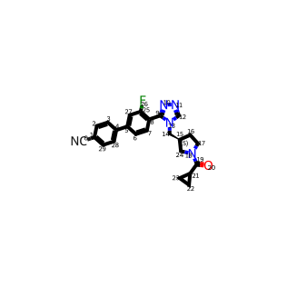 N#Cc1ccc(-c2ccc(-c3nncn3C[C@H]3CCN(C(=O)C4CC4)C3)c(F)c2)cc1